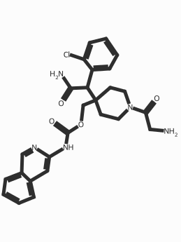 NCC(=O)N1CCC(COC(=O)Nc2cc3ccccc3cn2)(C(C(N)=O)c2ccccc2Cl)CC1